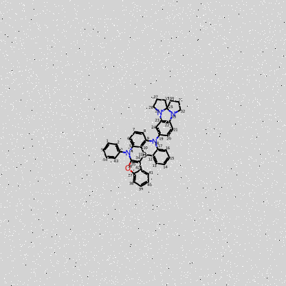 c1ccc(N2c3cccc4c3B(c3ccccc3N4c3ccc4c(c3)N3CCCC35CCCN45)c3c2oc2ccccc32)cc1